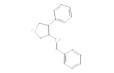 c1ccc(CNC2CNCC2c2ccccc2)cc1